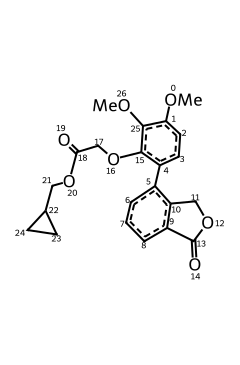 COc1ccc(-c2cccc3c2COC3=O)c(OCC(=O)OCC2CC2)c1OC